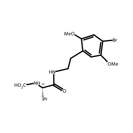 COc1cc(CCNC(=O)[C@@H](NC(=O)O)C(C)C)c(OC)cc1Br